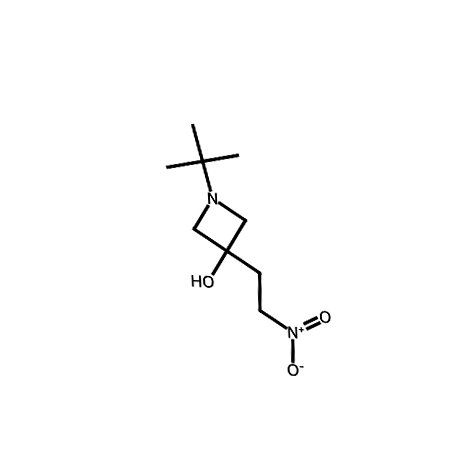 CC(C)(C)N1CC(O)(CC[N+](=O)[O-])C1